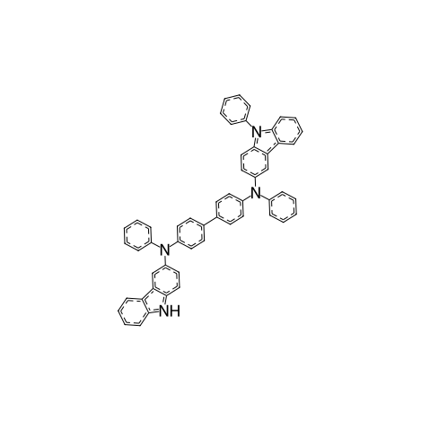 c1ccc(N(c2ccc(-c3ccc(N(c4ccccc4)c4ccc5c(c4)c4ccccc4n5-c4ccccc4)cc3)cc2)c2ccc3[nH]c4ccccc4c3c2)cc1